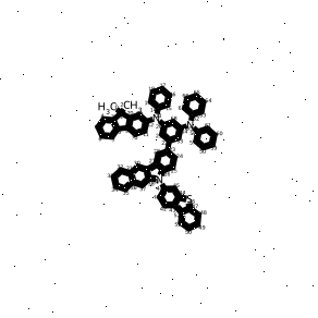 CC1(C)c2ccccc2-c2ccc(N(c3ccccc3)c3cc(-c4ccc5c(c4)c4cc6ccccc6cc4n5-c4ccc5c(c4)sc4ccccc45)cc(N(c4ccccc4)c4ccccc4)c3)cc21